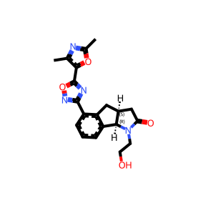 Cc1nc(C)c(-c2nc(-c3cccc4c3C[C@H]3CC(=O)N(CCO)[C@@H]43)no2)o1